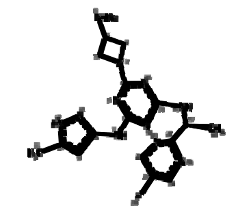 CC(=O)NC1CN(c2nc(Nc3cc(C)[nH]n3)nc(N[C@@H](C)c3ncc(F)cn3)n2)C1